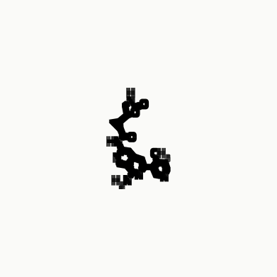 Cc1ccncc1-c1cc2cc(NC(=O)C3CC3C3CNC(=O)O3)ncc2c(N)n1